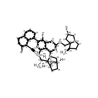 C#Cc1c(F)ccc2cccc(-c3nc4c5c(nc(OCC67C[C@@H](F)CN6CCC7=C)nc5c3F)N3C[C@H]5CC[C@H](N5)[C@H]3[C@H](C)O4)c12